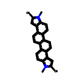 [C-]#[N+]c1cc2c3ccc4c(ccc5c4ccc4c5cc(C#N)n4C)c3ccc2n1C